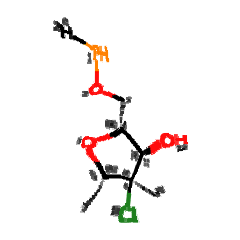 [2H]POC[C@H]1O[C@@H](C)[C@](C)(Cl)[C@@H]1O